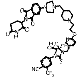 CC1(C)C(=O)N(c2ccc(C#N)c(C(F)(F)F)c2)C(=S)N1Cc1ccc(OCCN2CCC(CN3CCN(c4ccc5c(c4)C(=O)N(C4CCC(=O)NC4=O)C5=O)CC3)CC2)nc1